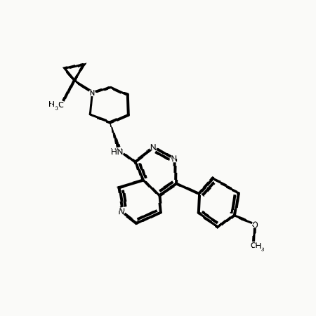 COc1ccc(-c2nnc(N[C@@H]3CCCN(C4(C)CC4)C3)c3cnccc23)cc1